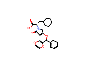 O=C(O)[C@H](CC1CCCCC1)N1CC(OC(C2=CC=CCC2)C2=COC=CO2)=CC1=O